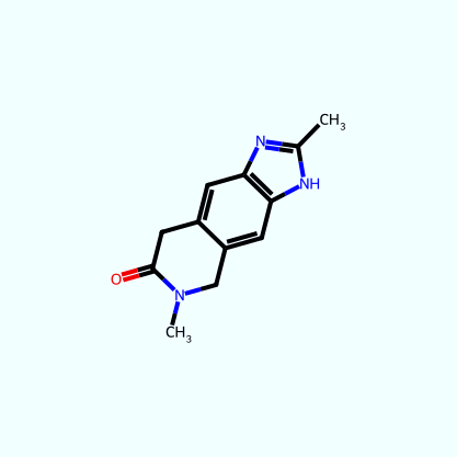 Cc1nc2cc3c(cc2[nH]1)CN(C)C(=O)C3